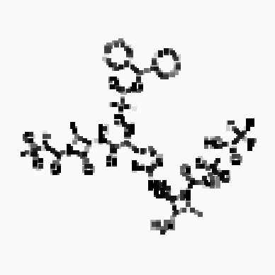 CC1C(N)C(=O)N1C(=O)NS(C)(=O)=O.C[C@H]1[C@H](NC(=O)/C(=N\OC(C)(C)C(=O)OC(c2ccccc2)c2ccccc2)c2csc(N)n2)C(=O)N1C(=O)NS(C)(=O)=O.O=C(O)C(F)(F)F